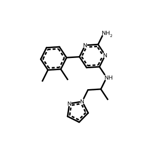 Cc1cccc(-c2cc(NC(C)Cn3cccn3)nc(N)n2)c1C